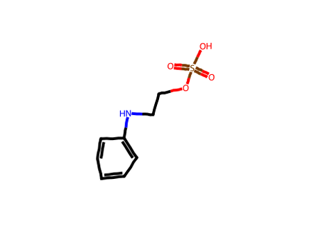 O=S(=O)(O)OCCNc1ccccc1